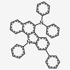 c1ccc(-c2ccc3c4c(N(c5ccccc5)c5ccccc5)cc5ccccc5c4n(-c4ccccc4)c3c2)cc1